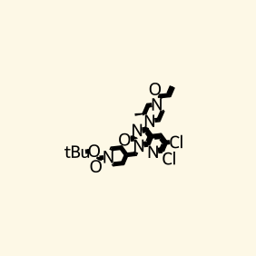 C=CC(=O)N1CCN(c2nc(=O)n(CC3CCN(C(=O)OC(C)(C)C)CC3)c3nc(Cl)c(Cl)cc23)[C@@H](C)C1